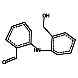 O=Cc1ccccc1Nc1ccccc1CO